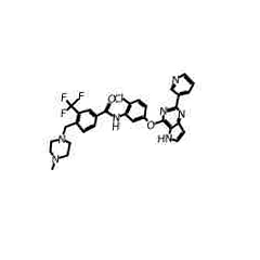 CN1CCN(Cc2ccc(C(=O)Nc3cc(Oc4nc(-c5cccnc5)nc5cc[nH]c45)ccc3Cl)cc2C(F)(F)F)CC1